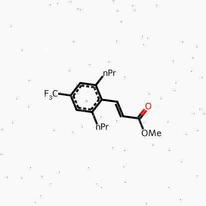 CCCc1cc(C(F)(F)F)cc(CCC)c1C=CC(=O)OC